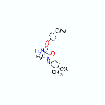 Cc1cc(NC(=O)[C@@](C)(N)COc2ccc(C#N)cc2)ccc1C#N